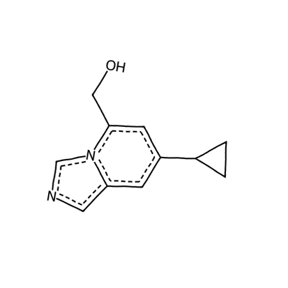 OCc1cc(C2CC2)cc2cncn12